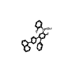 CC(C)(C)N(c1ccccc1F)c1cc(-c2ccc(-c3cccc4ccccc34)cc2)c(-c2ccccc2)cc1F